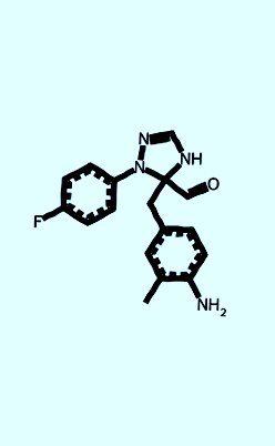 Cc1cc(CC2(C=O)NC=NN2c2ccc(F)cc2)ccc1N